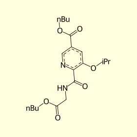 CCCCOC(=O)CNC(=O)c1ncc(C(=O)OCCCC)cc1OC(C)C